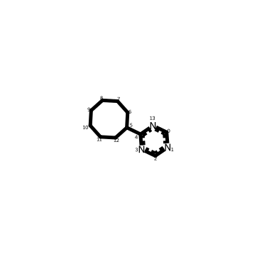 c1ncnc(C2CCCCCCC2)n1